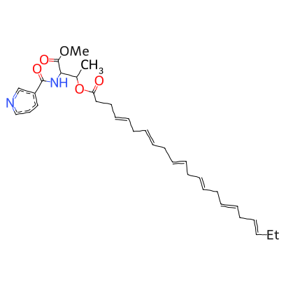 CCC=CCC=CCC=CCC=CCC=CCC=CCCC(=O)OC(C)C(NC(=O)c1cccnc1)C(=O)OC